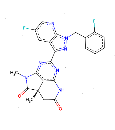 CN1C(=O)[C@@]2(C)CC(=O)Nc3nc(-c4nn(Cc5ccccc5F)c5ncc(F)cc45)nc1c32